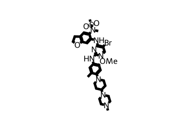 COc1cc(N2CCC(N3CCN(C)CC3)CC2)c(C)cc1Nc1ncc(Br)c(Nc2cc3c(cc2N(C)S(C)(=O)=O)CCO3)n1